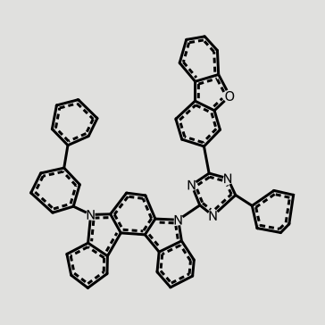 c1ccc(-c2cccc(-n3c4ccccc4c4c5c6ccccc6n(-c6nc(-c7ccccc7)nc(-c7ccc8c(c7)oc7ccccc78)n6)c5ccc43)c2)cc1